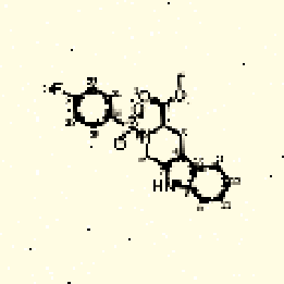 COC(=O)C1Cc2c([nH]c3ccccc23)CN1S(=O)(=O)c1ccc(F)cc1